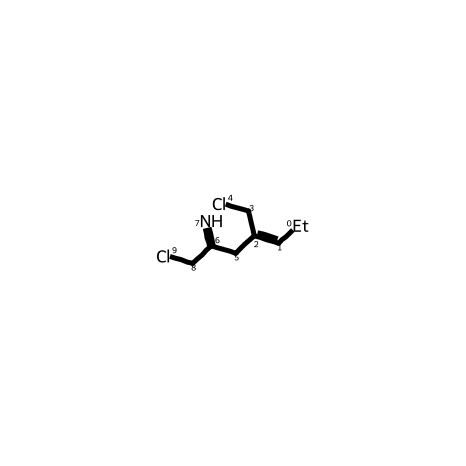 CC/C=C(\CCl)CC(=N)CCl